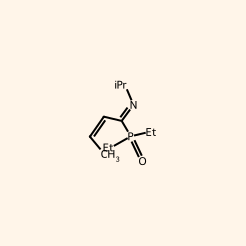 C/C=C\C(=N/C(C)C)P(=O)(CC)CC